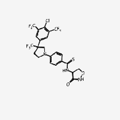 O=C1NOCC1NC(=S)c1ccc(N2CCC(c3cc(C(F)(F)F)c(Cl)c(C(F)(F)F)c3)(C(F)(F)F)C2)cc1